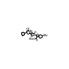 COC(=O)c1c(NC(=O)c2nn3c(C(F)(F)F)cc(-c4ccccc4)nc3c2Br)sc2c1CCC(C(C)(C)C)C2